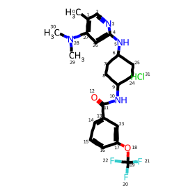 Cc1cnc(NC2CCC(NC(=O)c3cccc(OC(F)(F)F)c3)CC2)cc1N(C)C.Cl